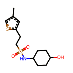 Cc1csc(CCS(=O)(=O)NC2CCC(O)CC2)c1